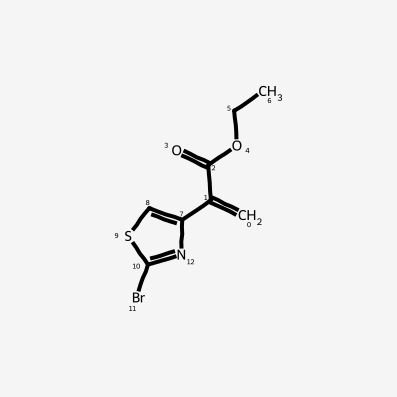 C=C(C(=O)OCC)c1csc(Br)n1